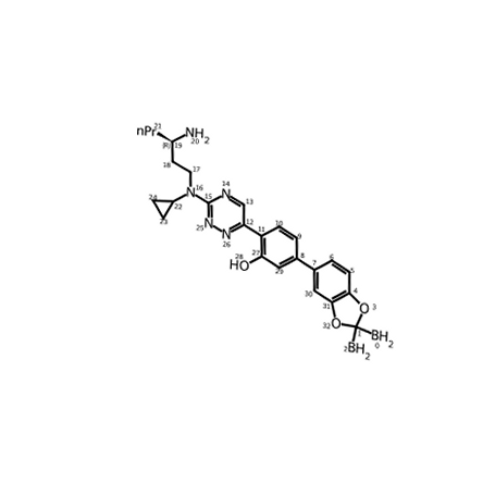 BC1(B)Oc2ccc(-c3ccc(-c4cnc(N(CC[C@H](N)CCC)C5CC5)nn4)c(O)c3)cc2O1